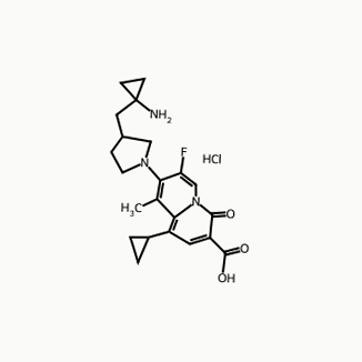 Cc1c(N2CCC(CC3(N)CC3)C2)c(F)cn2c(=O)c(C(=O)O)cc(C3CC3)c12.Cl